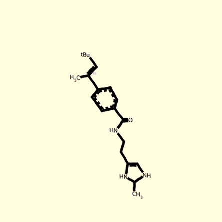 C/C(=C\C(C)(C)C)c1ccc(C(=O)NCCC2=CNC(C)N2)cc1